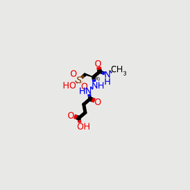 CNC(=O)[C@H](CS(=O)(=O)O)NNC(=O)CCC(=O)O